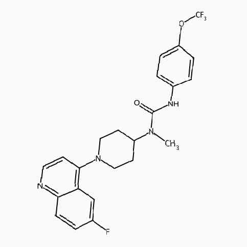 CN(C(=O)Nc1ccc(OC(F)(F)F)cc1)C1CCN(c2ccnc3ccc(F)cc23)CC1